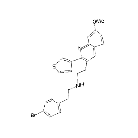 COc1ccc2cc(CCNCCc3ccc(Br)cc3)c(-c3ccsc3)nc2c1